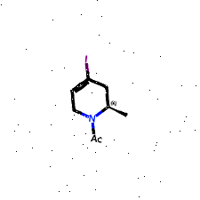 CC(=O)N1CC=C(I)C[C@H]1C